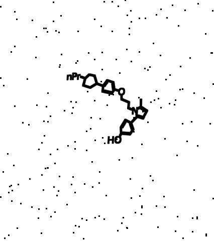 CCCC1CCC(c2ccc(OCCCn3c(C)ccc3-c3ccc(O)cc3)cc2)CC1